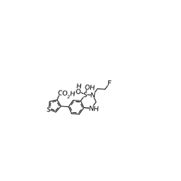 O=C(O)c1cscc1-c1ccc2c(c1)S(O)(O)N(CCF)CN2